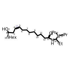 CCCCCC[C@@H](O)C/C=C\CCCCCCCC(=O)NC(CC)N(C(C)C)C(C)C